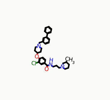 CC1CCCN(CCCNC(=O)c2ccc(OC3CCN(Cc4cccc(-c5ccccc5)c4)CC3)c(Cl)c2)C1